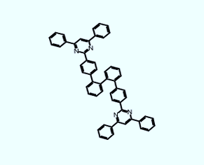 c1ccc(-c2cc(-c3ccccc3)nc(-c3ccc(-c4ccccc4-c4ccccc4-c4ccc(-c5nc(-c6ccccc6)cc(-c6ccccc6)n5)cc4)cc3)n2)cc1